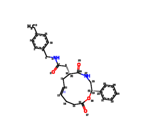 Cc1ccc(CNC(=O)C[C@H]2C/C=C/CCC(=O)O[C@@H](c3ccccc3)CNC2=O)cc1